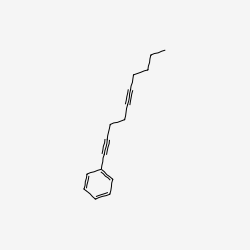 CCCCC#CCCC#Cc1ccccc1